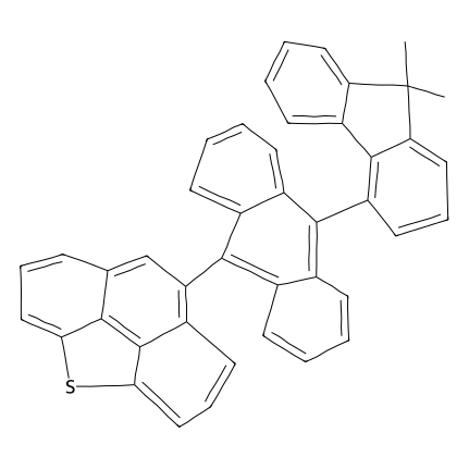 CC1(C)c2ccccc2-c2c(-c3c4ccccc4c(-c4cc5cccc6sc7cccc4c7c56)c4ccccc34)cccc21